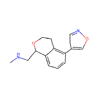 CNCC1OCCc2c(-c3cnoc3)cccc21